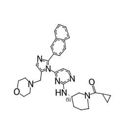 O=C(C1CC1)N1CCC[C@H](Nc2nccc(-n3c(CN4CCOCC4)cnc3-c3ccc4ccccc4c3)n2)C1